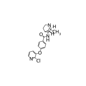 C[C@H]1[C@H](NC(=O)c2ccc(Oc3cccnc3Cl)cc2)C2CCN1CC2